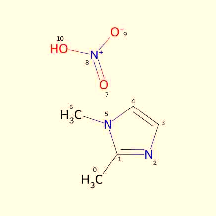 Cc1nccn1C.O=[N+]([O-])O